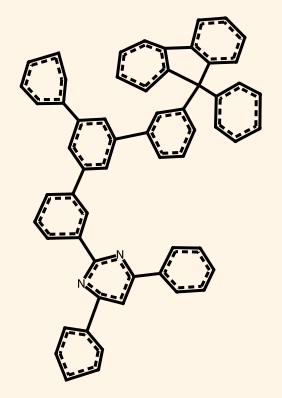 c1ccc(-c2cc(-c3cccc(-c4nc(-c5ccccc5)cc(-c5ccccc5)n4)c3)cc(-c3cccc(C4(c5ccccc5)c5ccccc5-c5ccccc54)c3)c2)cc1